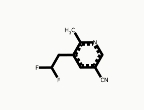 Cc1ncc(C#N)cc1CC(F)F